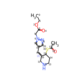 CCOC(=O)Cn1cc(/C=C2/CNCCC2SC(C)=O)cn1